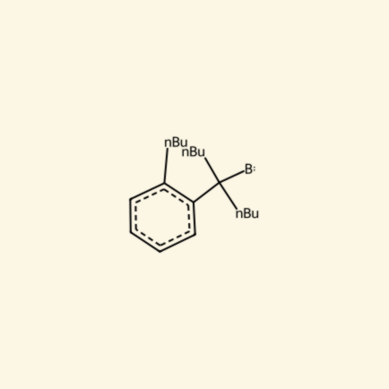 [B]C(CCCC)(CCCC)c1ccccc1CCCC